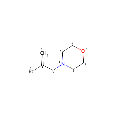 C=C(CC)CN1CCOCC1